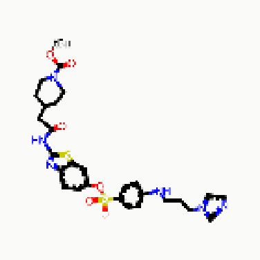 CC(C)(C)OC(=O)N1CCC(CC(=O)Nc2nc3ccc(OS(=O)(=O)c4ccc(NCCCn5ccnc5)cc4)cc3s2)CC1